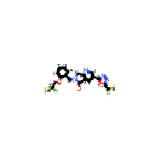 O=C1c2cc(-c3nnc(C(F)F)o3)cnc2CN1Cc1ccccc1OCC(F)F